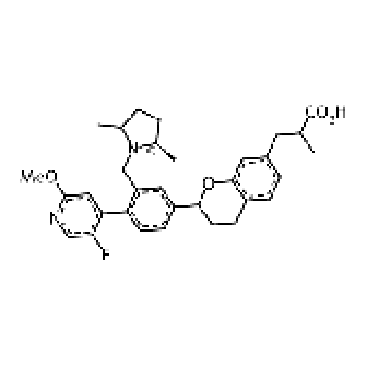 COc1cc(-c2ccc(C3CCc4ccc(CC(C)C(=O)O)cc4O3)cc2CN2C(C)CC[C@H]2C)c(F)cn1